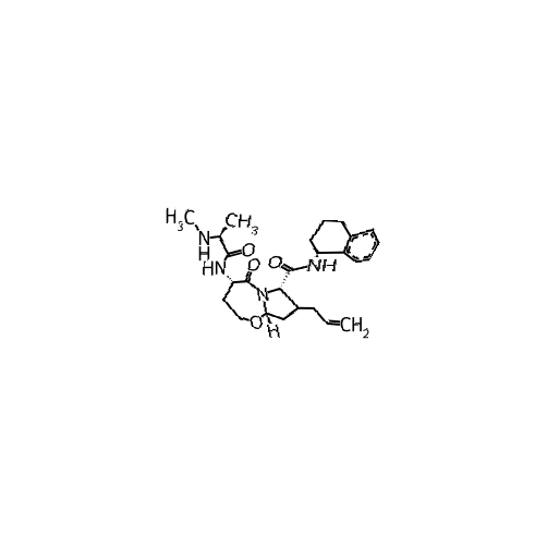 C=CCC1C[C@@H]2OCC[C@H](NC(=O)[C@H](C)NC)C(=O)N2[C@@H]1C(=O)N[C@@H]1CCCc2ccccc21